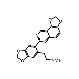 CNCCc1cc2c(cc1-c1cc3ccc4c(c3cn1)OCO4)OCO2